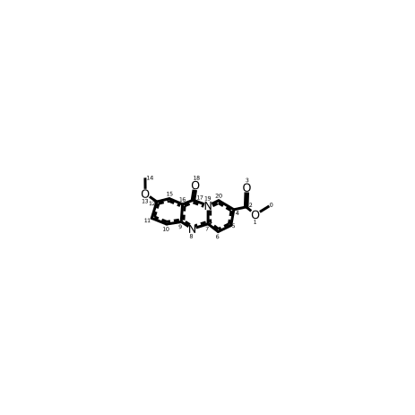 COC(=O)c1ccc2nc3ccc(OC)cc3c(=O)n2c1